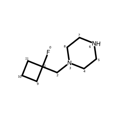 FC1(CN2CCNCC2)CCC1